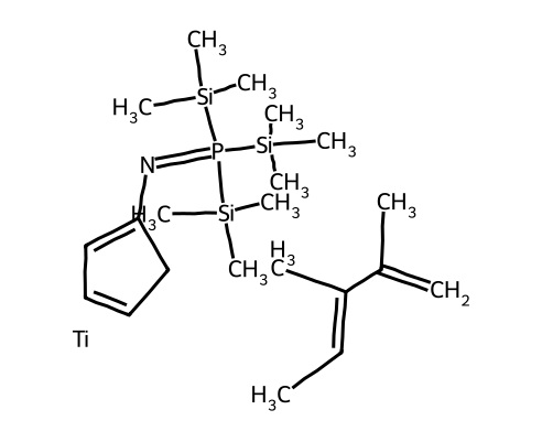 C=C(C)C(C)=CC.C[Si](C)(C)P(=NC1=CC=CC1)([Si](C)(C)C)[Si](C)(C)C.[Ti]